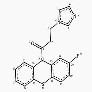 O=C(CCn1ccnc1)N1c2ccccc2Sc2ccc(F)cc21